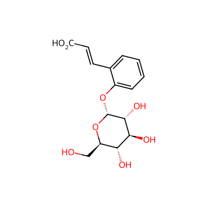 O=C(O)C=Cc1ccccc1O[C@H]1O[C@H](CO)[C@@H](O)[C@H](O)[C@H]1O